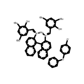 CC(C)(C)c1cc(C=[N+]2[Mn][N+](=Cc3cc(C(C)(C)C)cc(C(C)(C)C)c3O)c3ccc4ccccc4c3-c3c2ccc2ccccc32)c(O)c(C(C)(C)C)c1.[O-]c1ccc(Oc2ccccc2)cc1